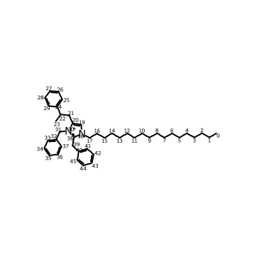 CCCCCCCCCCCCCCCCCCn1cc(CC(C)c2ccccc2)[n+](Cc2ccccc2)c1Cc1ccccc1